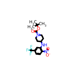 CC(C)(C)OC(=O)N1CCC(Nc2cc(C(F)(F)F)ccc2[N+](=O)[O-])CC1